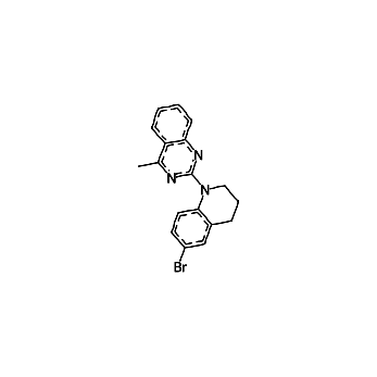 Cc1nc(N2CCCc3cc(Br)ccc32)nc2ccccc12